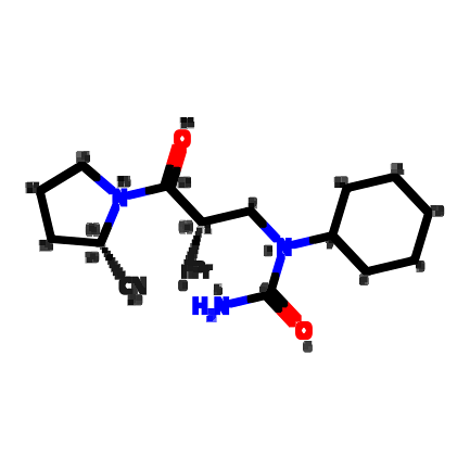 CCC[C@@H](CN(C(N)=O)C1CCCCC1)C(=O)N1CCC[C@H]1C#N